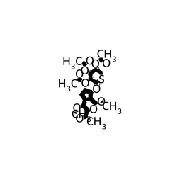 COc1oc(C(C)=O)c(OC)c2ccc(O[C@H]3SC[C@@H](OC(C)=O)[C@H](OC(C)=O)[C@H]3OC(C)=O)c1-2